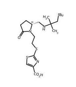 CC(C)(C)CC(C)(C)NC[C@H]1CCC(=O)N1CCSc1nc(C(=O)O)cs1